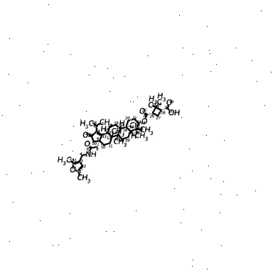 Cc1cc(CNC(=O)C[C@@]23CC[C@]4(C)[C@H](CC[C@@H]5[C@@]6(C)CC[C@H](OC(=O)[C@H]7C[C@@H](C(=O)O)C7(C)C)C(C)(C)[C@@H]6CC[C@]54C)C2=C(C(C)C)C(=O)C3)c(C)o1